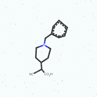 N#CC(C(=O)O)C1CCN(Cc2ccccc2)CC1